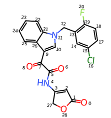 O=C1C=C(NC(=O)C(=O)c2cn(Cc3cc(Cl)ccc3F)c3ccccc23)CO1